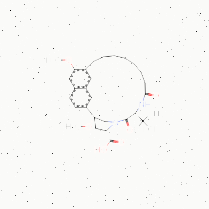 COc1cc2ccc3cc2cc1CCCCCCCC(=O)N[C@@H](C(C)(C)C)C(=O)N1C[C@@]3(OC)C[C@H]1C(=O)O